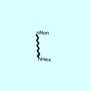 [CH2]CCCCC/C=C/CCCCCCCCCCCCCCC[CH2]